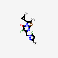 N#CC1CC1c1c(C(F)(F)F)sc2nc(Cn3nc(C(F)(F)F)cc3Cl)c(F)c(=O)n12